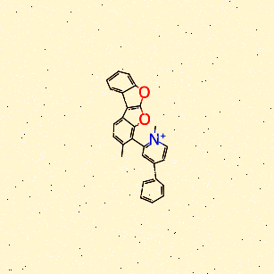 Cc1ccc2c(oc3oc4ccccc4c32)c1-c1cc(-c2ccccc2)cc[n+]1C